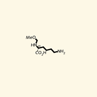 COCN[C@H](CCCCN)C(=O)O